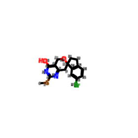 CSc1nc(O)c2c(n1)CC1(CCc3ccc(Br)cc31)OC2